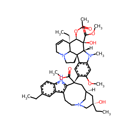 CCc1ccc2[nH]c3c(c2c1)CCN1C[C@H](C[C@@](O)(CC)C1)C[C@]3(C(=O)OC)c1cc2c(cc1OC)N(C)[C@H]1[C@@](O)(C(=O)OC)[C@H](OC(C)=O)[C@]3(CC)C=CCN4CC[C@]21C43